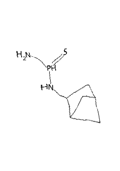 N[PH](=S)NC1CC2CCC1C2